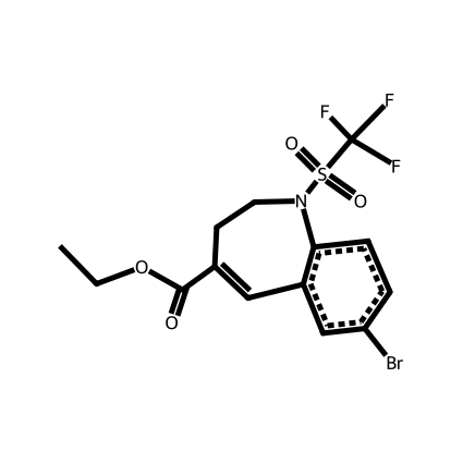 CCOC(=O)C1=Cc2cc(Br)ccc2N(S(=O)(=O)C(F)(F)F)CC1